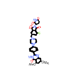 COc1cc(OC)c2c(=O)[nH]c(-c3ccc(N4CCN(Cc5cc(F)c6c(c5)C(=O)N(C5CCC(=O)NC5=O)C6=O)CC4)cc3)nc2c1